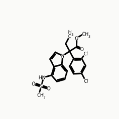 CCC(C(=O)OC)(c1ccc(Cl)cc1Cl)n1ccc2c(NS(C)(=O)=O)cccc21